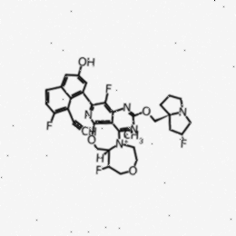 C#Cc1c(F)ccc2cc(O)cc(-c3nc4c5c(nc(OC[C@@]67CCCN6C[C@H](F)C7)nc5c3F)[N@@+]3(C)CCOCC(F)[C@@H]3CO4)c12